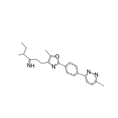 CCC(C)C(=N)CCc1nc(-c2ccc(-c3ccc(C)nn3)cc2)oc1C